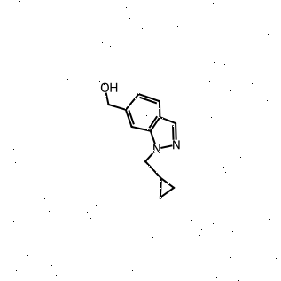 OCc1ccc2cnn(CC3CC3)c2c1